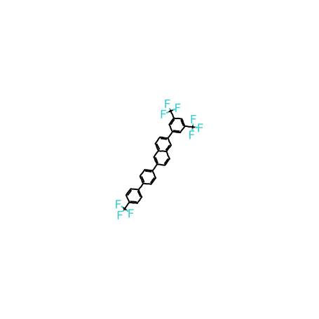 FC(F)(F)c1ccc(-c2ccc(-c3ccc4cc(-c5cc(C(F)(F)F)cc(C(F)(F)F)c5)ccc4c3)cc2)cc1